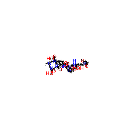 CCN1CCN(CC(=O)O)CCN(C(C=O)CO)CC(Cc2ccc(C(=O)NC(Cc3ccccc3)C(=O)NCC(=O)NC(CCCCN3C(=O)C=CC3=O)C(=O)O)cc2)N(CC(=O)O)CC1